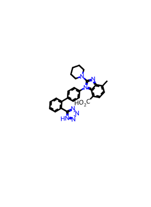 Cc1ccc(C(=O)O)c2c1nc(N1CCCCC1)n2-c1ccc(-c2ccccc2-c2nnn[nH]2)cc1